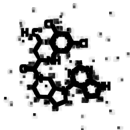 CCC[C@@H](Nc1cc(Cl)cc(Cl)c1)C(=O)N1CCC2CCN(c3ncnc4[nH]ccc34)C2C1